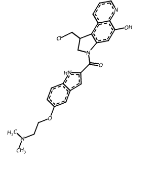 CN(C)CCOc1ccc2[nH]c(C(=O)N3CC(CCl)c4c3cc(O)c3ncccc43)cc2c1